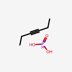 CCC#CCC.O=[PH](O)O